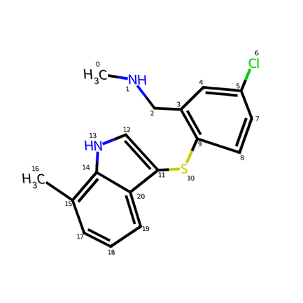 CNCc1cc(Cl)ccc1Sc1c[nH]c2c(C)cccc12